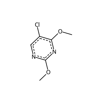 COc1ncc(Cl)c(OC)n1